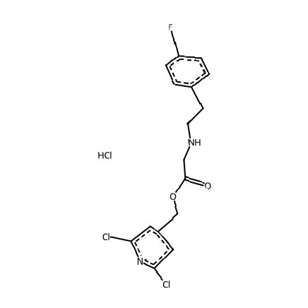 Cl.O=C(CNCCc1ccc(F)cc1)OCc1cc(Cl)nc(Cl)c1